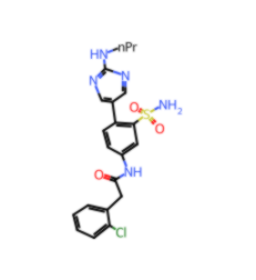 CCCNc1ncc(-c2ccc(NC(=O)Cc3ccccc3Cl)cc2S(N)(=O)=O)cn1